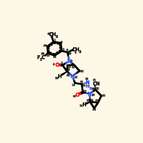 Cc1cc([C@@H](C)N2C(=O)[C@@H]3CC2CN3C[C@H](N)C(=O)N2[C@H](C#N)CC3C[C@@H]32)cc(C(F)(F)F)c1